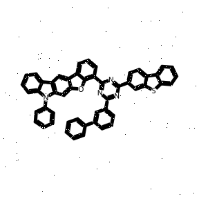 c1ccc(-c2cccc(-c3nc(-c4ccc5c(c4)sc4ccccc45)nc(-c4cccc5c4oc4cc6c(cc45)c4ccccc4n6-c4ccccc4)n3)c2)cc1